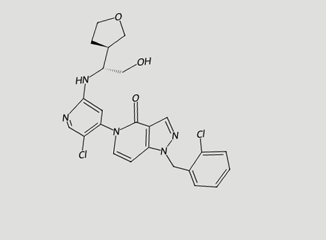 O=c1c2cnn(Cc3ccccc3Cl)c2ccn1-c1cc(N[C@@H](CO)[C@H]2CCOC2)ncc1Cl